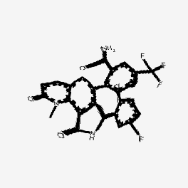 Cn1c(=O)ccc2cc(-c3c(F)cc(C(F)(F)F)cc3C(N)=O)c3c(c21)C(=O)NC3c1cc(F)ccc1Cl